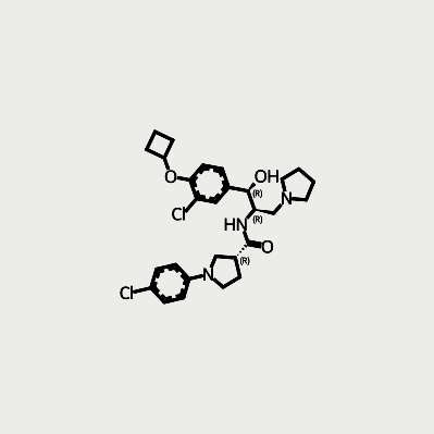 O=C(N[C@H](CN1CCCC1)[C@H](O)c1ccc(OC2CCC2)c(Cl)c1)[C@@H]1CCN(c2ccc(Cl)cc2)C1